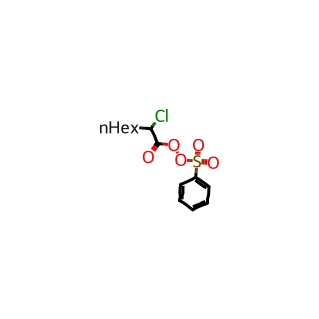 CCCCCCC(Cl)C(=O)OOS(=O)(=O)c1ccccc1